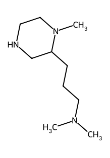 CN(C)CCCC1CNCCN1C